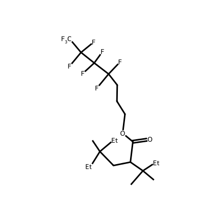 CCC(C)(CC)CC(C(=O)OCCCC(F)(F)C(F)(F)C(F)(F)C(F)(F)F)C(C)(C)CC